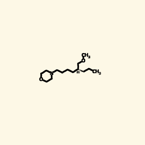 CCC[C@H](CCCCN1CCOCC1)COC